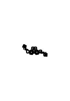 O=S1(=O)c2cc(OCCN3CCC3)ccc2-c2ccc(OCCN3CCC3)cc21